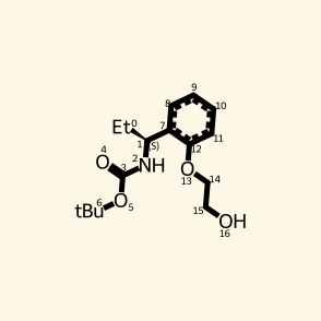 CC[C@H](NC(=O)OC(C)(C)C)c1ccccc1OCCO